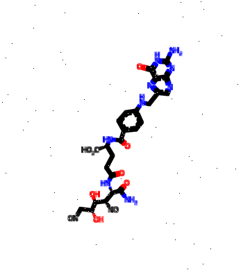 NC(=O)[C@@H](NC(=O)CC[C@H](NC(=O)c1ccc(NCc2cnc3nc(N)[nH]c(=O)c3n2)cc1)C(=O)O)[C@@H](N=O)[C@H](O)[C@H](O)CN=O